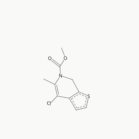 COC(=O)N1Cc2sccc2C(Cl)=C1C